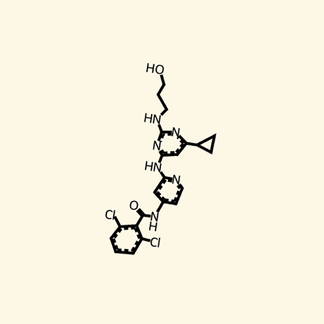 O=C(Nc1ccnc(Nc2cc(C3CC3)nc(NCCCO)n2)c1)c1c(Cl)cccc1Cl